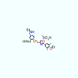 CCCCCCc1cc(CNCC)ccc1OCCc1coc(-c2cc(C)c(OCC)c(C)c2)n1.CS(=O)(=O)O